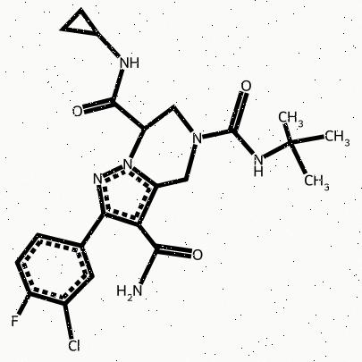 CC(C)(C)NC(=O)N1Cc2c(C(N)=O)c(-c3ccc(F)c(Cl)c3)nn2C(C(=O)NC2CC2)C1